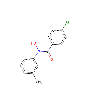 Cc1cccc(N(O)C(=O)c2ccc(Cl)cc2)c1